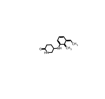 C=c1c(NC2CCC(=O)NC2)ccc/c1=C/C